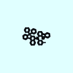 Cc1cccc(N(c2cc3c(c4ccccc24)-c2ccccc2C3(c2ccccc2)c2ccccc2)c2cccc3c2oc2ccccc23)c1